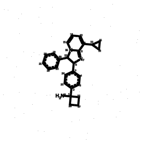 NC1(c2ccc(C3N=C4C(C5CC5)=CC=CN4C3c3ccccc3)cc2)CCC1